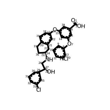 Cl.O=C(O)c1cc(Oc2ccccc2)cc(Oc2ccc3c(c2)C[C@@H](NC[C@H](O)c2cccc(Cl)c2)CC3)c1